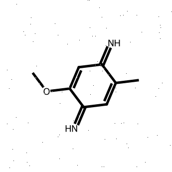 COC1=CC(=N)C(C)=CC1=N